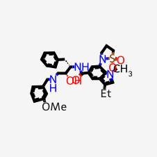 CCc1cn(C)c2c(N3CCCS3(=O)=O)cc(C(=O)N[C@@H](Cc3ccccc3)[C@H](O)CNCc3cccc(OC)c3)cc12